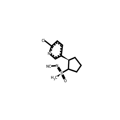 C[S@@](=O)(=NC#N)C1CCC[C@@H]1c1ccc(Cl)nc1